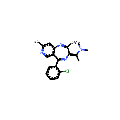 CCc1cc2c(cn1)C(c1ccccc1Cl)=NC(=C(C)N(C)C)C(SC)=N2